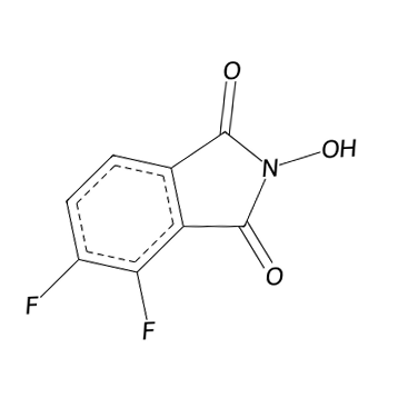 O=C1c2ccc(F)c(F)c2C(=O)N1O